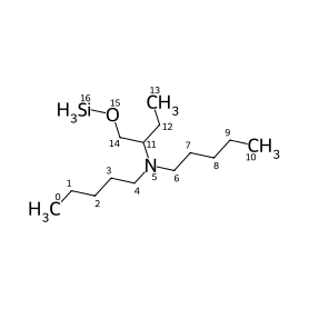 CCCCCN(CCCCC)C(CC)CO[SiH3]